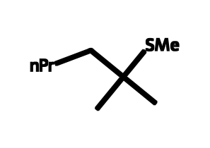 [CH2]CCCC(C)(C)SC